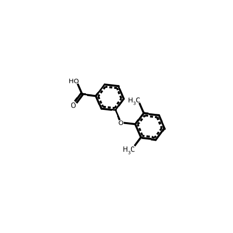 Cc1cccc(C)c1Oc1cccc(C(=O)O)c1